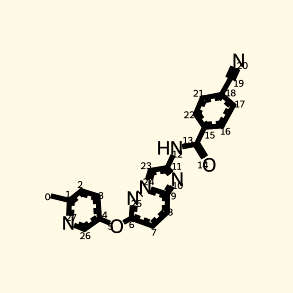 Cc1ccc(Oc2ccc3nc(NC(=O)c4ccc(C#N)cc4)cn3n2)cn1